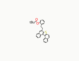 CC(C)(C)C(=O)Oc1ccccc1CCc1cc2ccccc2c2c1sc1ccc3ccccc3c12